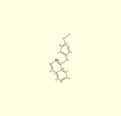 CCc1ccc(Cc2nccc3ccccc23)cc1